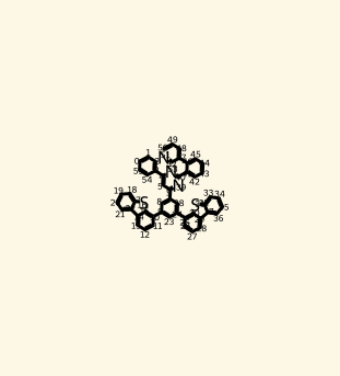 c1ccc(-c2cc(-c3cc(-c4cccc5c4sc4ccccc45)cc(-c4cccc5c4sc4ccccc45)c3)nc(-c3ccccc3-c3cccnc3)n2)cc1